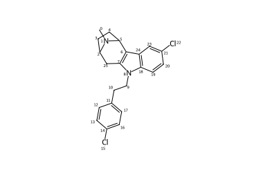 CN1C2CCC1c1c(n(CCc3ccc(Cl)cc3)c3ccc(Cl)cc13)C2